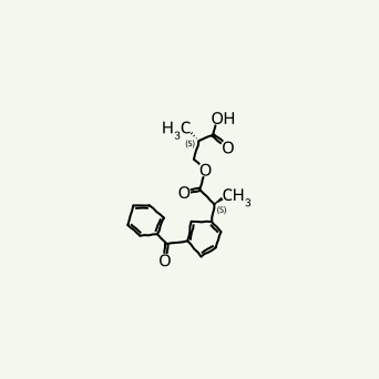 C[C@H](C(=O)OC[C@H](C)C(=O)O)c1cccc(C(=O)c2ccccc2)c1